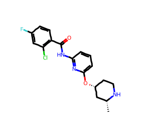 C[C@@H]1C[C@H](Oc2cccc(NC(=O)c3ccc(F)cc3Cl)n2)CCN1